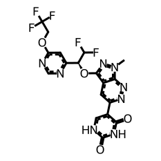 Cn1nc(O[C@@H](c2cc(OCC(F)(F)F)ncn2)C(F)F)c2cc(-c3c[nH]c(=O)[nH]c3=O)nnc21